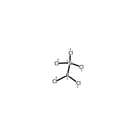 ClB(Cl)[Si](Cl)(Cl)Cl